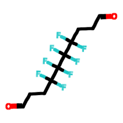 O=CCCC(F)(F)C(F)(F)C(F)(F)C(F)(F)CCC=O